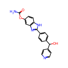 NC(=O)Oc1ccc2[nH]c(-c3ccc(C(O)c4ccncc4)cc3)nc2c1